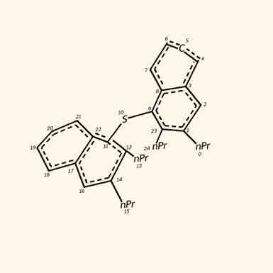 CCCc1cc2ccccc2c(Sc2c(CCC)c(CCC)cc3ccccc23)c1CCC